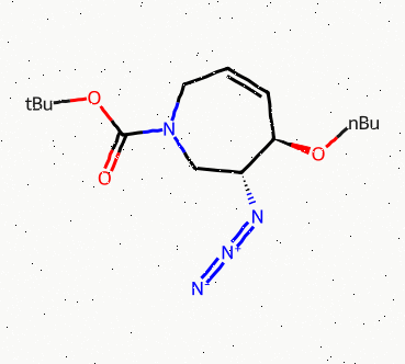 CCCCO[C@@H]1C=CCN(C(=O)OC(C)(C)C)C[C@H]1N=[N+]=[N-]